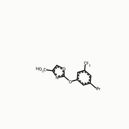 CC(C)c1cc(Oc2nc(C(=O)O)co2)cc(C(F)(F)F)c1